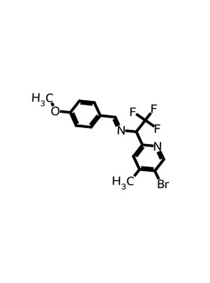 COc1ccc(C=NC(c2cc(C)c(Br)cn2)C(F)(F)F)cc1